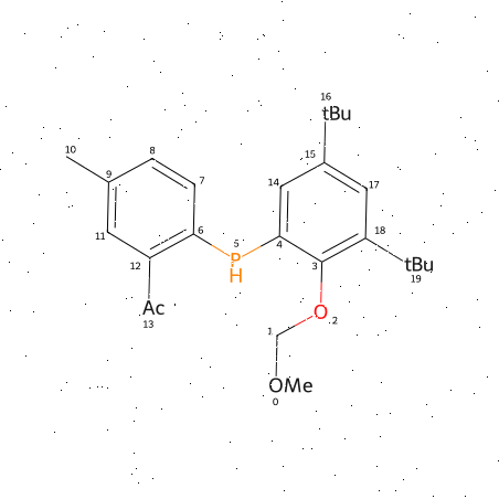 COCOc1c(Pc2ccc(C)cc2C(C)=O)cc(C(C)(C)C)cc1C(C)(C)C